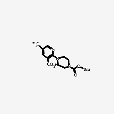 CC(C)(C)OC(=O)N1CCN(c2ncc(C(F)(F)F)cc2C(=O)O)CC1